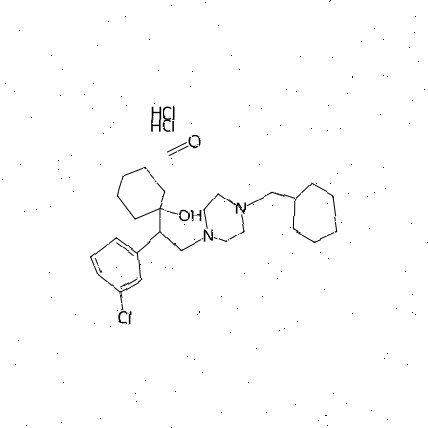 C=O.Cl.Cl.OC1(C(CN2CCN(CC3CCCCC3)CC2)c2cccc(Cl)c2)CCCCC1